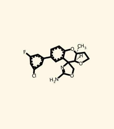 C[C@]12CCO[C@H]1C1(COC(N)=N1)c1cc(-c3cc(F)cc(Cl)c3)ccc1O2